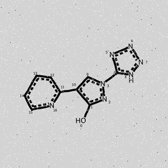 Oc1nn(-c2nnn[nH]2)cc1-c1ccccn1